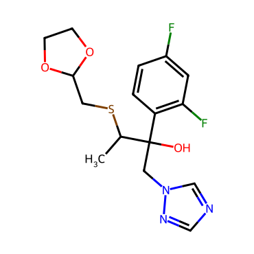 CC(SCC1OCCO1)C(O)(Cn1cncn1)c1ccc(F)cc1F